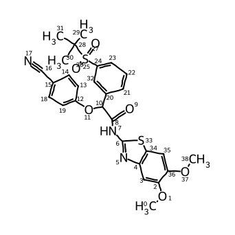 COc1cc2nc(NC(=O)C(Oc3ccc(C#N)cc3)c3cccc(S(=O)(=O)C(C)(C)C)c3)sc2cc1OC